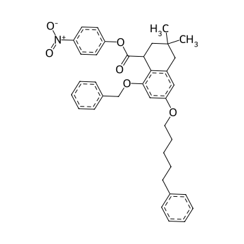 CC1(C)Cc2cc(OCCCCCc3ccccc3)cc(OCc3ccccc3)c2C(C(=O)Oc2ccc([N+](=O)[O-])cc2)C1